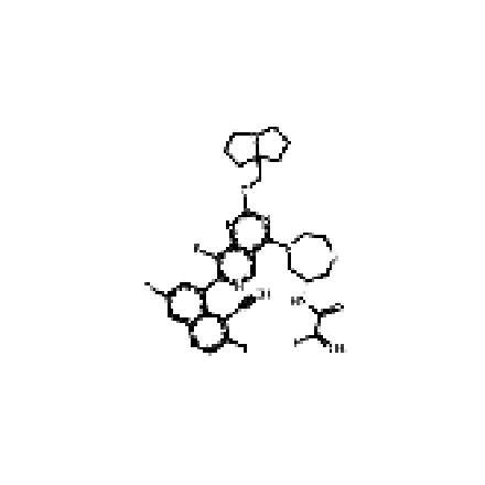 C#Cc1c(F)ccc2cc(O)cc(-c3ncc4c(N5CCOC[C@H](NC(=O)C(=C)F)C5)nc(OCC56CCCN5CCC6)nc4c3F)c12